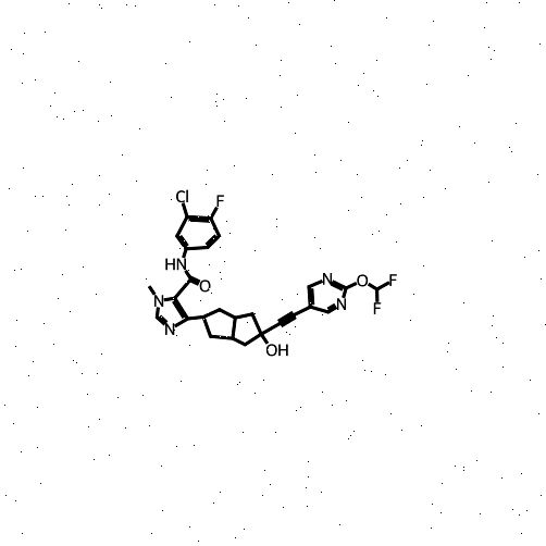 Cn1cnc(C2CC3CC(O)(C#Cc4cnc(OC(F)F)nc4)CC3C2)c1C(=O)Nc1ccc(F)c(Cl)c1